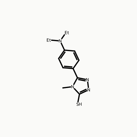 CCN(CC)c1ccc(-c2nnc(S)n2C)cc1